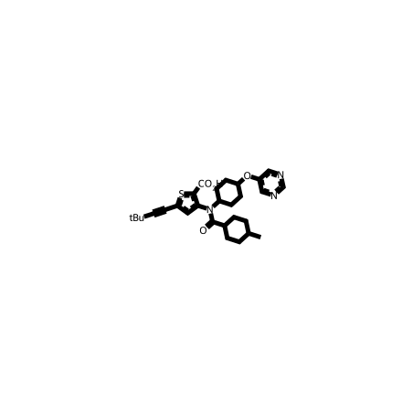 CC1CCC(C(=O)N(c2cc(C#CC(C)(C)C)sc2C(=O)O)C2CCC(Oc3cncnc3)CC2)CC1